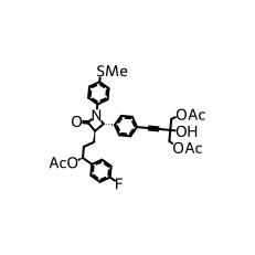 CSc1ccc(N2C(=O)[C@H](CC[C@H](OC(C)=O)c3ccc(F)cc3)[C@H]2c2ccc(C#CC(O)(COC(C)=O)COC(C)=O)cc2)cc1